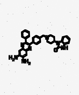 Nc1cc2nc(-c3ccccc3)c(-c3ccc(CN4CCC(n5c(=O)[nH]c6ccccc65)CC4)cc3)nc2cc1N